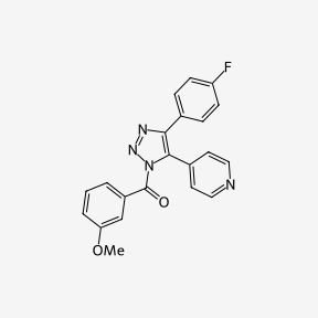 COc1cccc(C(=O)n2nnc(-c3ccc(F)cc3)c2-c2ccncc2)c1